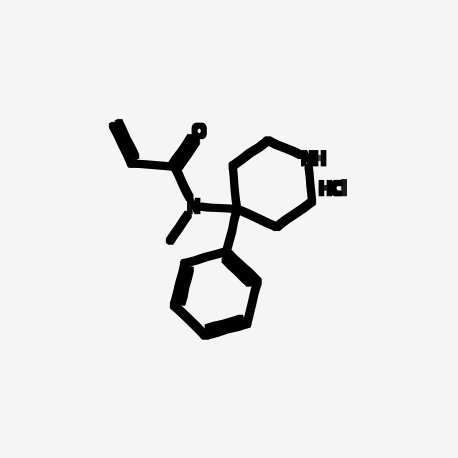 C=CC(=O)N(C)C1(c2ccccc2)CCNCC1.Cl